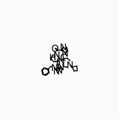 Cn1ccnc1C(=O)N1CCCC(c2nnnn2Cc2ccccc2)(N2CCCN(C3CCC3)CC2)C1